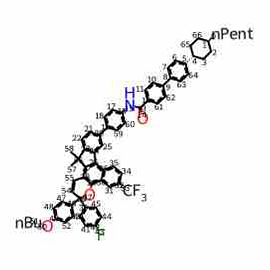 CCCCC[C@H]1CC[C@H](c2ccc(-c3ccc(C(=O)Nc4ccc(-c5ccc6c(c5)-c5c(c7c(c8cc(C(F)(F)F)ccc58)OC(c5ccc(F)cc5)(c5ccc(OCCCC)cc5)C=C7)C6(C)C)cc4)cc3)cc2)CC1